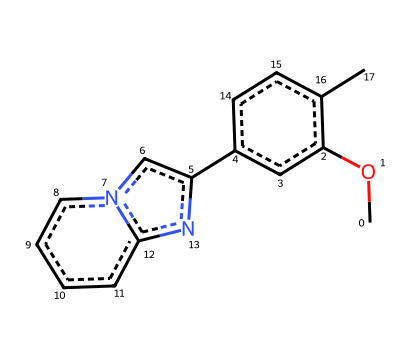 COc1cc(-c2cn3ccccc3n2)ccc1C